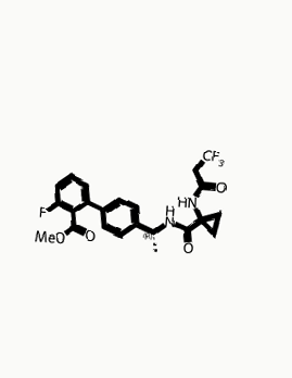 COC(=O)c1c(F)cccc1-c1ccc([C@@H](C)NC(=O)C2(NC(=O)CC(F)(F)F)CC2)cc1